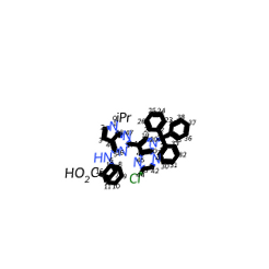 CC(C)n1ccc2c(NC3C4CCC(CC4)C3C(=O)O)nc(-c3cn(C(c4ccccc4)(c4ccccc4)c4ccccc4)c4ncc(Cl)nc34)nc21